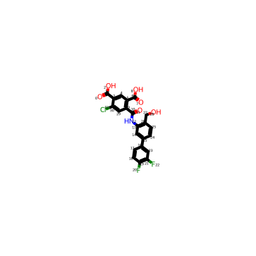 O=C(O)c1cc(C(=O)O)c(C(=O)Nc2cc(-c3ccc(F)c(F)c3)ccc2CO)cc1Cl